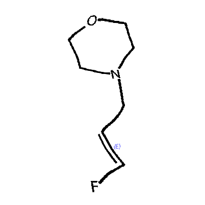 F/C=C/CN1CCOCC1